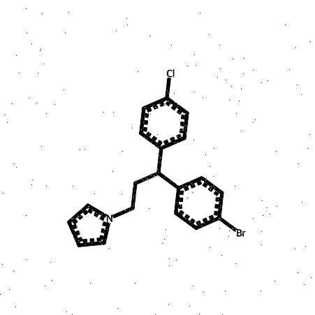 Clc1ccc(C(CCn2cccc2)c2ccc(Br)cc2)cc1